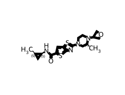 C[C@@H]1CN(c2nc3sc(C(=O)N[C@H]4C[C@@H]4C)cc3s2)CCN1C1COC1